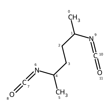 CC(CCC(C)N=C=O)N=C=O